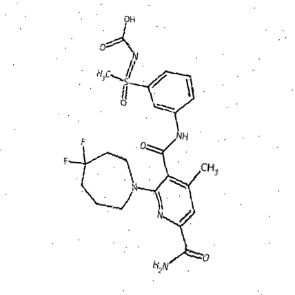 Cc1cc(C(N)=O)nc(N2CCCC(F)(F)CC2)c1C(=O)Nc1cccc(S(C)(=O)=NC(=O)O)c1